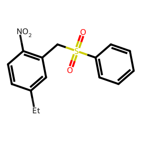 [CH2]Cc1ccc([N+](=O)[O-])c(CS(=O)(=O)c2ccccc2)c1